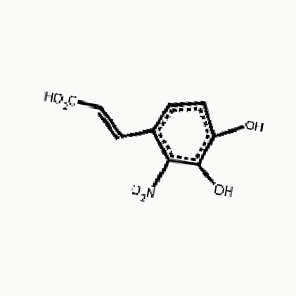 O=C(O)C=Cc1ccc(O)c(O)c1[N+](=O)[O-]